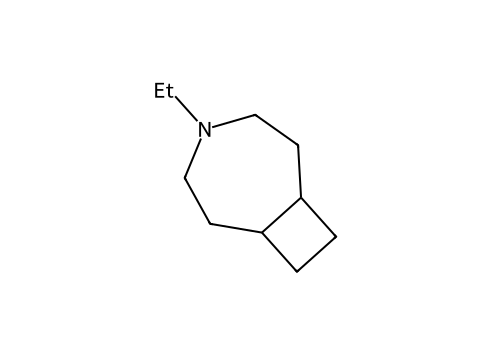 CCN1CCC2CCC2CC1